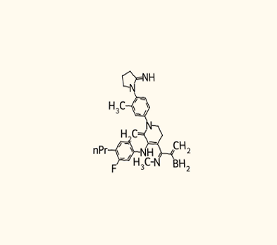 BC(=C)/C(=N/C)C1=C(Nc2ccc(CCC)c(F)c2)C(=C)N(c2ccc(N3CCCC3=N)c(C)c2)CC1